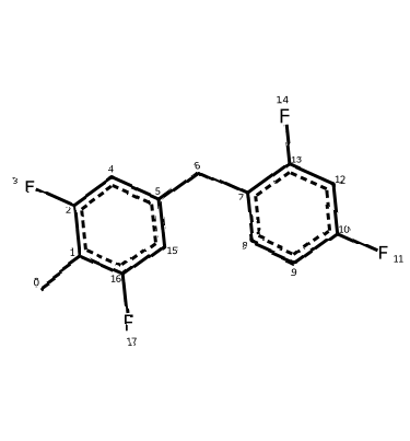 Cc1c(F)cc(Cc2ccc(F)cc2F)cc1F